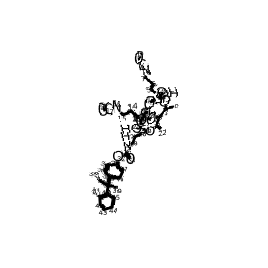 CC1O[Si](O)(CCCN=C=O)O[Si]2(CCCN=C=O)OC1C(C)O[Si](O)(CCCNC(=O)Oc1ccc(C(C)(C)c3ccccc3)cc1)O2